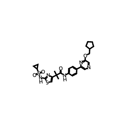 CC(C)(C(=O)Nc1ccc(-c2cncc(OCC3CCCC3)n2)cc1)c1csc(NS(=O)(=O)C2CC2)n1